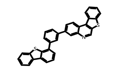 c1cc(-c2ccc3c(c2)ncc2sc4ccccc4c23)cc(-c2cccc3c2sc2ccccc23)c1